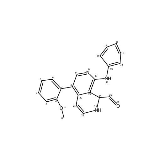 COc1ccccc1-c1cnc(Nc2ccccc2)c2c1C=CNC2C=O